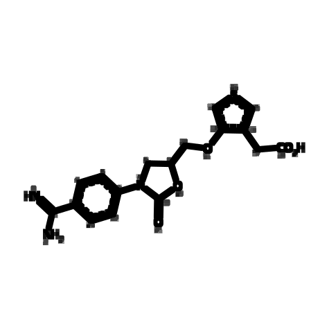 N=C(N)c1ccc(N2CC(COc3cscc3CC(=O)O)OC2=O)cc1